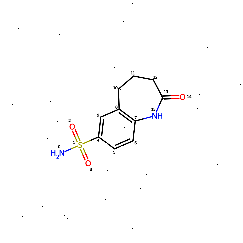 NS(=O)(=O)c1ccc2c(c1)CCCC(=O)N2